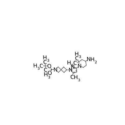 Cc1cc(N2CCC(N)CC2(C)C)nn1C1CC2(C1)CN(C(=O)OC(C)(C)C)C2